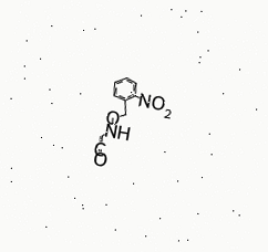 O=C=CNOCc1ccccc1[N+](=O)[O-]